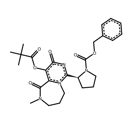 CN1CCCn2c([C@@H]3CCCN3C(=O)OCc3ccccc3)nc(=O)c(OC(=O)C(C)(C)C)c2C1=O